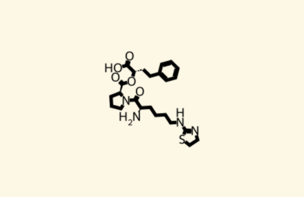 N[C@@H](CCCCNC1=NCCS1)C(=O)N1CCC[C@H]1C(=O)O[C@@H](CCc1ccccc1)C(=O)O